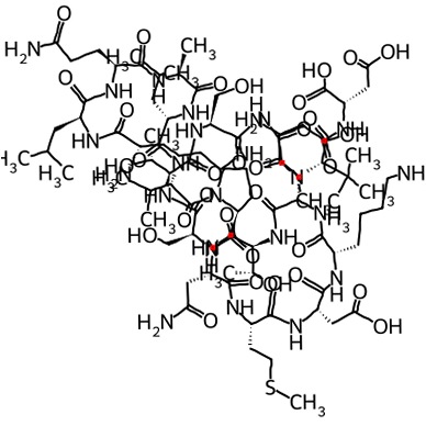 CSCC[C@H](NC(=O)[C@H](CC(N)=O)NC(=O)[C@@H]1CCCN1C(=O)[C@@H](NC(=O)[C@H](CC(C)C)NC(=O)[C@H](C)NC(=O)[C@H](CCC(N)=O)NC(=O)[C@H](CC(C)C)NC(=O)[C@@H](N)CCCCN)C(C)C)C(=O)N[C@@H](CC(=O)O)C(=O)N[C@@H](CCCCN)C(=O)N[C@@H](CCC(N)=O)C(=O)N[C@H](C(=O)N[C@@H](CO)C(=O)N[C@H](C(=O)N[C@@H](CO)C(=O)N[C@@H](CC(=O)O)C(=O)N(C)[C@H](C(=O)N[C@@H](CC(=O)O)C(=O)O)C(C)(C)C)[C@@H](C)O)[C@@H](C)O